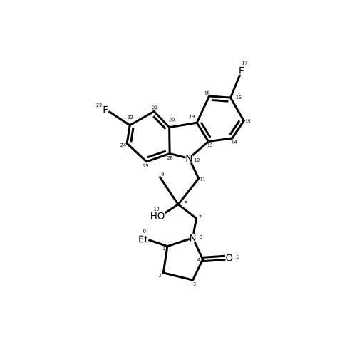 CCC1CCC(=O)N1CC(C)(O)Cn1c2ccc(F)cc2c2cc(F)ccc21